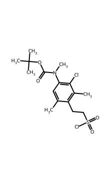 Cc1cc(N(C)C(=O)OC(C)(C)C)c(Cl)c(C)c1CCS(=O)(=O)Cl